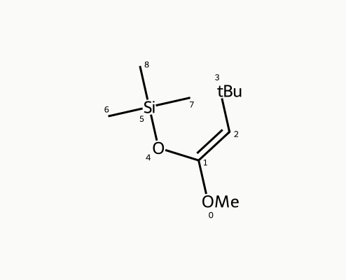 COC(=CC(C)(C)C)O[Si](C)(C)C